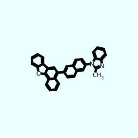 Cc1nc2ccccc2n1-c1ccc2cc(-c3cc4c5ccccc5oc4c4ccccc34)ccc2c1